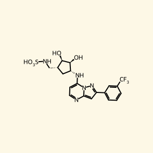 O=S(=O)(O)NC[C@H]1C[C@@H](Nc2ccnc3cc(-c4cccc(C(F)(F)F)c4)nn23)[C@H](O)[C@@H]1O